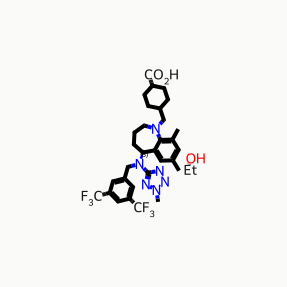 CCO.Cc1cc(C)c2c(c1)[C@@H](N(Cc1cc(C(F)(F)F)cc(C(F)(F)F)c1)c1nnn(C)n1)CCCN2CC1CCC(C(=O)O)CC1